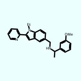 CCn1c(-c2ccccn2)cc2cc(CNC(C)c3cccc(OC)c3)ccc21